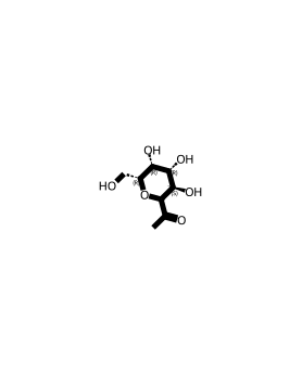 CC(=O)[C]1O[C@H](CO)[C@H](O)[C@H](O)[C@H]1O